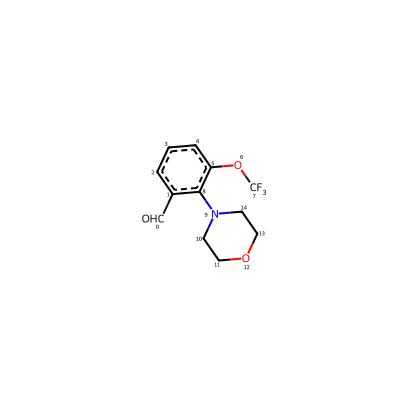 O=Cc1cccc(OC(F)(F)F)c1N1CCOCC1